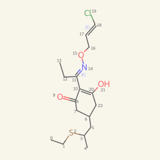 CCSC(C)CC1CC(=O)C(/C(CC)=N/OC/C=C/Cl)=C(O)C1